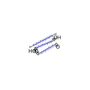 CC(C)=CCC/C(C)=C/C=C/C(C)=C/C=C/C(C)=C/C=C/C=C(C)/C=C/C=C(C)/C=C/C=C(\C)CCC=C(C)C.CC1=C(/C=C/C(C)=C/C=C/C(C)=C/C=C/C=C(C)/C=C/C=C(C)/C=C/C2=C(C)C(=O)CCC2(C)C)C(C)(C)CCC1=O.CC1=C[C@H](O)CC(C)(C)[C@H]1/C=C/C(C)=C/C=C/C(C)=C/C=C/C=C(C)/C=C/C=C(C)/C=C/C1=C(C)C[C@@H](O)CC1(C)C